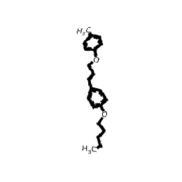 CCCCCOc1ccc(CCCOc2ccc(C)cc2)cc1